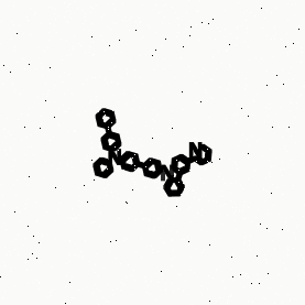 c1ccc(-c2ccc(N(c3ccccc3)c3ccc(-c4ccc(-n5c6ccccc6c6cc(-c7ccccn7)ccc65)cc4)cc3)cc2)cc1